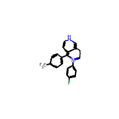 Fc1ccc(N2CCC3=CNC=CC3=C2c2ccc(C(F)(F)F)cc2)cc1